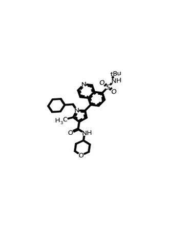 Cc1c(C(=O)NC2CCOCC2)cc(-c2ccc(S(=O)(=O)NC(C)(C)C)c3cnccc23)n1CC1CCCCC1